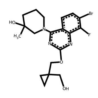 CC1(O)CCCN(c2nc(OCC3(CO)CC3)nc3c(F)c(Br)ccc23)C1